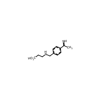 CC(=N)c1ccc(CNCCC(=O)O)cc1